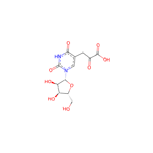 O=C(O)C(=O)[CH]c1cn([C@@H]2O[C@H](CO)[C@@H](O)[C@H]2O)c(=O)[nH]c1=O